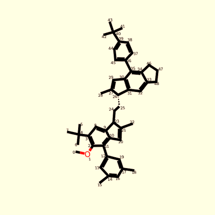 COc1c(C(C)(C)C)cc2c(c1-c1cc(C)cc(C)c1)C=C(C)C2CC[C@@H]1C(C)=Cc2c1cc1c(c2-c2ccc(C(C)(C)C)cc2)CCC1